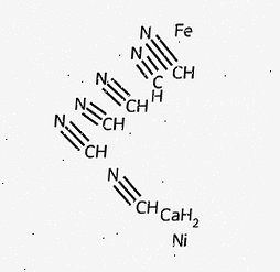 C#N.C#N.C#N.C#N.C#N.C#N.[CaH2].[Fe].[Ni]